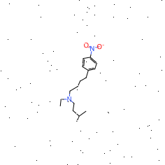 CCN(CCCCc1ccc([N+](=O)[O-])cc1)CCC(C)C